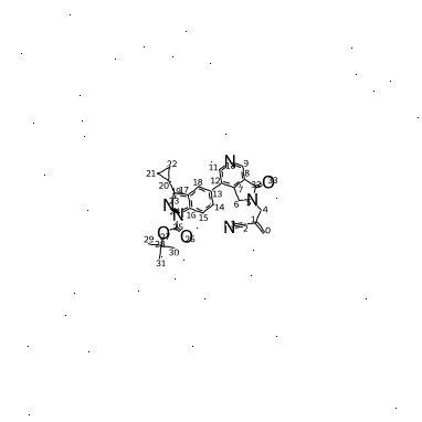 C=C(C#N)CN1Cc2c(cncc2-c2ccc3c(c2)c(C2CC2)nn3C(=O)OC(C)(C)C)C1=O